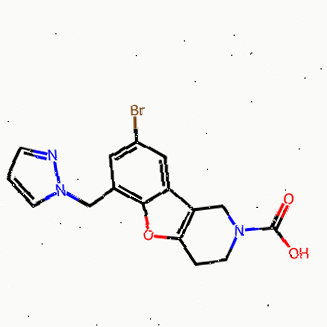 O=C(O)N1CCc2oc3c(Cn4cccn4)cc(Br)cc3c2C1